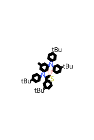 Cc1cc2c3c(c1)N(c1ccc(C(C)(C)C)cc1)c1c(sc4ccc(C(C)(C)C)cc14)B3c1ccc(C(C)(C)C)cc1N2c1ccc(C(C)(C)C)cc1